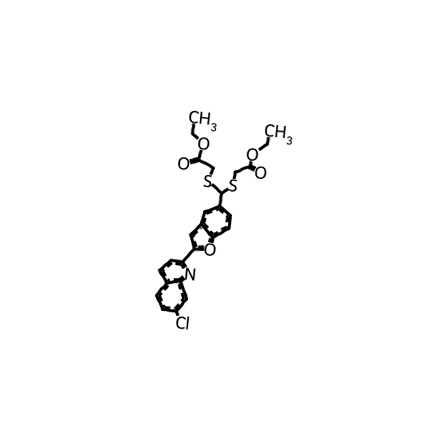 CCOC(=O)CSC(SCC(=O)OCC)c1ccc2oc(-c3ccc4ccc(Cl)cc4n3)cc2c1